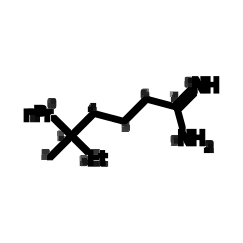 C[CH]CC(C)(CC)CCCC(=N)N